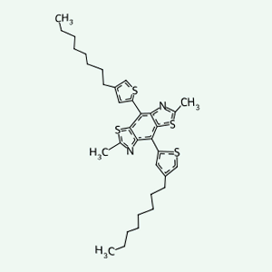 CCCCCCCCc1csc(-c2c3nc(C)sc3c(-c3cc(CCCCCCCC)cs3)c3nc(C)sc23)c1